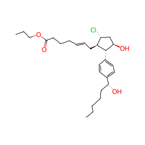 CCCCC[C@@H](O)c1ccc([C@@H]2[C@@H](CC=CCCCC(=O)OCCC)[C@H](Cl)C[C@H]2O)cc1